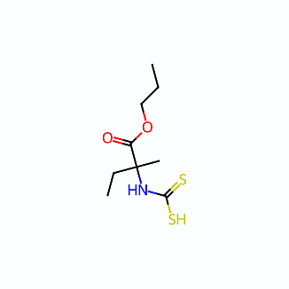 CCCOC(=O)C(C)(CC)NC(=S)S